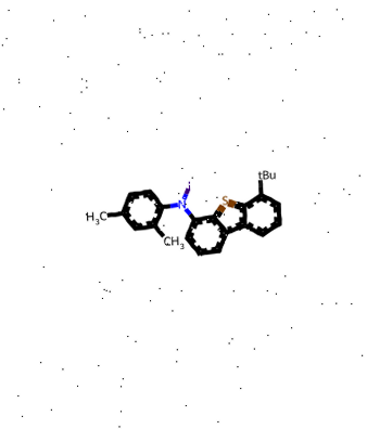 Cc1ccc(N(I)c2cccc3c2sc2c(C(C)(C)C)cccc23)c(C)c1